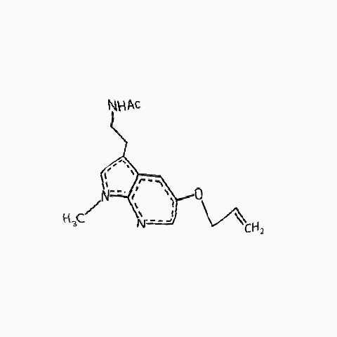 C=CCOc1cnc2c(c1)c(CCNC(C)=O)cn2C